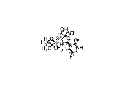 CC(C)(C)[Si](C)(C)OC1C[C@H](N2C=C(F)CNC2=O)O[C@@]1(CO)CCl